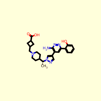 C[C@H](C1CCN(CC2CC(C(=O)O)C2)CC1)n1cc(-c2cc(-c3ccccc3O)nnc2N)cn1